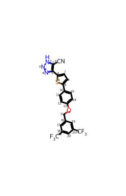 N#Cc1[nH]nnc1-c1ccc(-c2ccc(OCc3cc(C(F)(F)F)cc(C(F)(F)F)c3)cc2)s1